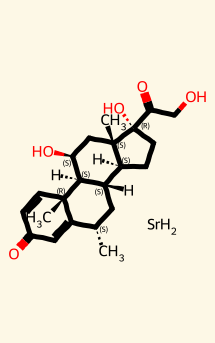 C[C@H]1C[C@@H]2[C@H]([C@@H](O)C[C@@]3(C)[C@H]2CC[C@]3(O)C(=O)CO)[C@@]2(C)C=CC(=O)C=C12.[SrH2]